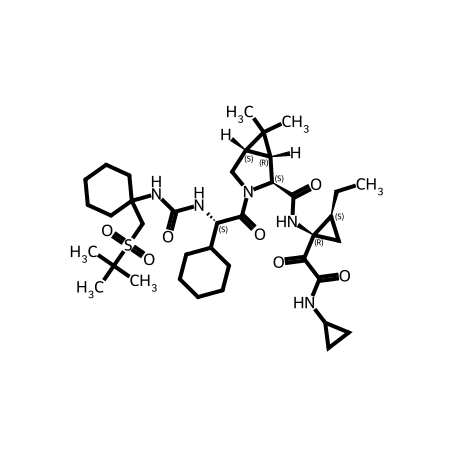 CC[C@H]1C[C@]1(NC(=O)[C@@H]1[C@@H]2[C@H](CN1C(=O)[C@@H](NC(=O)NC1(CS(=O)(=O)C(C)(C)C)CCCCC1)C1CCCCC1)C2(C)C)C(=O)C(=O)NC1CC1